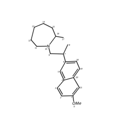 COc1ccc2cc(C(C)CN3CCCCCC3C)ccc2c1